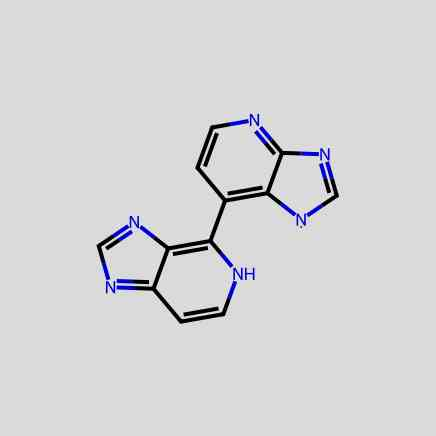 C1=Nc2nccc(-c3[nH]ccc4ncnc3-4)c2[N]1